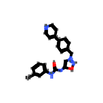 O=C([N-]c1c[n+](Cc2ccc(-c3ccncc3)cc2)no1)Nc1cccc(C(F)(F)F)c1